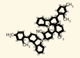 Cc1ccc(-c2ccc3c(c2)c2ccccc2n3-c2ccc(-c3ccccc3C(F)(F)F)c(-n3c4ccccc4c4cc(-c5ccc(C)cc5C)ccc43)c2C#N)c(C)c1